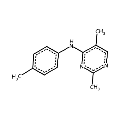 Cc1ccc(Nc2nc(C)ncc2C)cc1